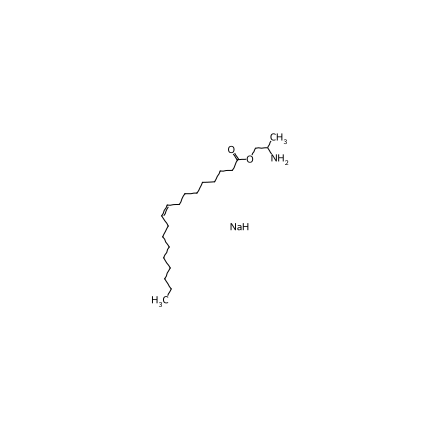 CCCCCCCC/C=C\CCCCCCCC(=O)OCC(C)N.[NaH]